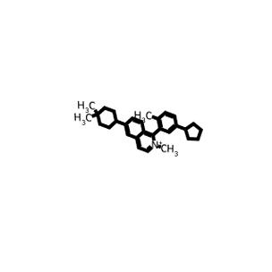 Cc1ccc(C2CCCC2)cc1-c1c2ccc(C3CCC(C)(C)CC3)cc2cc[n+]1C